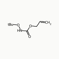 C=CCOC(=O)NOC(C)(C)C